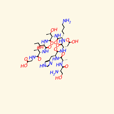 CC[C@H](C)[C@H](NC(=O)[C@@H](NC(=O)[C@H](CCCCN)NC(=O)[C@H](CC(=O)O)NC(=O)[C@H](Cc1c[nH]cn1)NC(=O)[C@H](C)NC(=O)[C@@H](N)CO)[C@@H](C)O)C(=O)N[C@H](C(=O)NCC(=O)O)[C@@H](C)O